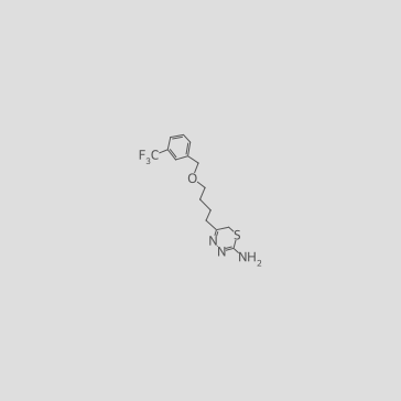 NC1=NN=C(CCCCOCc2cccc(C(F)(F)F)c2)CS1